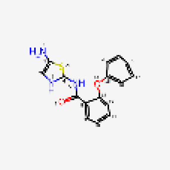 NC1=CNC(NC(=O)c2ccccc2Oc2ccccc2)S1